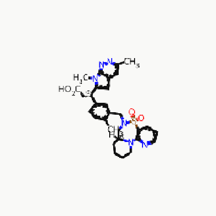 Cc1cc2cc([C@@H](CC(=O)O)c3ccc(C)c(CN4C[C@H]5CCCCN5c5ncccc5S4(=O)=O)c3)n(C)c2nn1